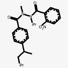 CC(C)CC(C)c1ccc(C(=O)N(C)N(C(=O)c2ccccc2[N+](=O)[O-])C(C)C)cc1